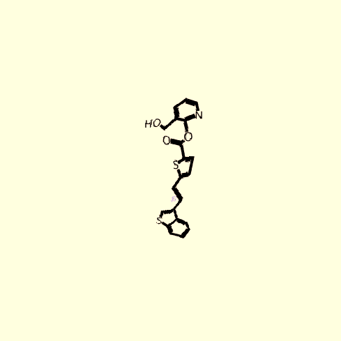 O=C(Oc1ncccc1CO)c1ccc(/C=C/c2csc3ccccc23)s1